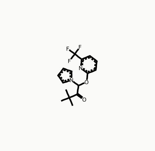 CC(C)(C)C(=O)C(Oc1cccc(C(F)(F)F)n1)n1cccc1